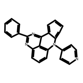 c1ccc(-c2nc3c4c(cccc4n2)N(c2ccncc2)c2ccccc2-3)cc1